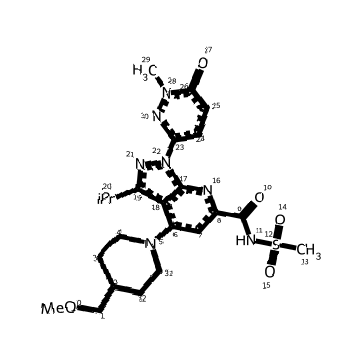 COCC1CCN(c2cc(C(=O)NS(C)(=O)=O)nc3c2c(C(C)C)nn3-c2ccc(=O)n(C)n2)CC1